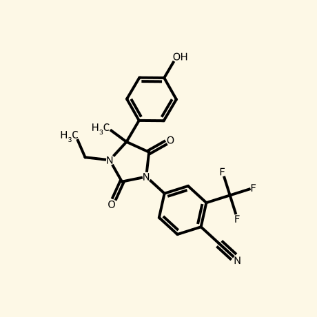 CCN1C(=O)N(c2ccc(C#N)c(C(F)(F)F)c2)C(=O)C1(C)c1ccc(O)cc1